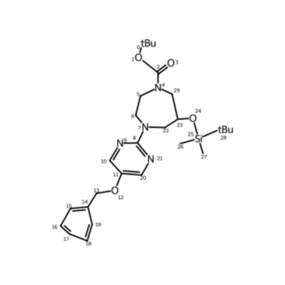 CC(C)(C)OC(=O)N1CCN(c2ncc(OCc3ccccc3)cn2)CC(O[Si](C)(C)C(C)(C)C)C1